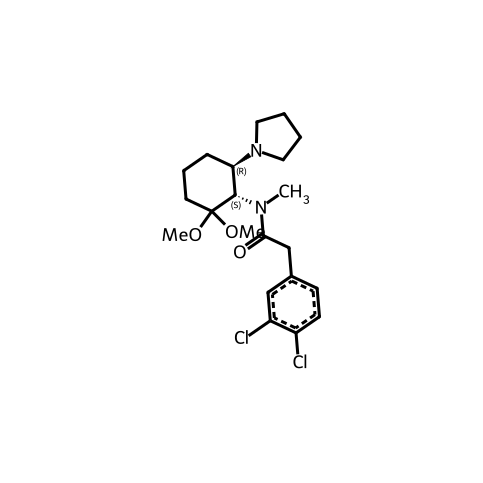 COC1(OC)CCC[C@@H](N2CCCC2)[C@@H]1N(C)C(=O)Cc1ccc(Cl)c(Cl)c1